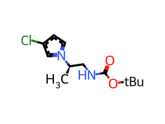 C[C@H](CNC(=O)OC(C)(C)C)n1ccc(Cl)c1